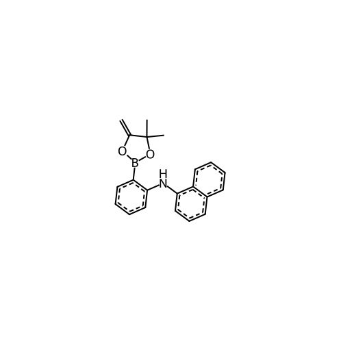 C=C1OB(c2ccccc2Nc2cccc3ccccc23)OC1(C)C